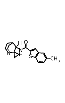 Cc1ccc2sc(C(=O)N[C@H]3C4CCN(CC4)C34CC4)cc2c1